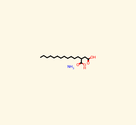 CCCCCCCCCCCCC(CC(=O)O)C(=O)O.N